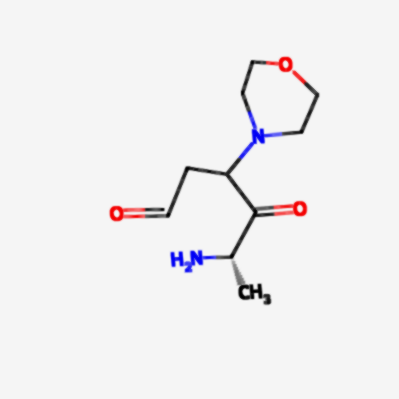 C[C@H](N)C(=O)C(CC=O)N1CCOCC1